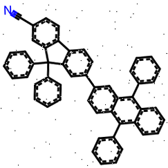 N#Cc1ccc2c(c1)C(c1ccccc1)(c1ccccc1)c1cc(-c3ccc4c(-c5ccccc5)c5ccccc5c(-c5ccccc5)c4c3)ccc1-2